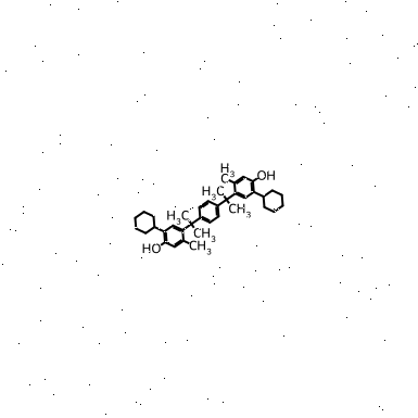 Cc1cc(O)c(C2CCCCC2)cc1C(C)(C)c1ccc(C(C)(C)c2cc(C3CCCCC3)c(O)cc2C)cc1